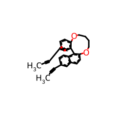 CC#Cc1ccc2c3c(ccc2c1)OCCCCOc1ccc2cc(C#CC)ccc2c1-3